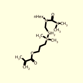 C=C(C)C(=O)OCCC[Si](C)(C)[SiH2]CN(CCCCCC)C(=O)N(C)C